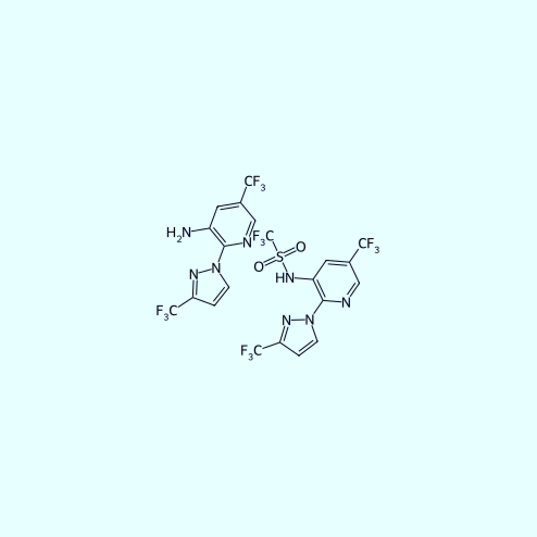 Nc1cc(C(F)(F)F)cnc1-n1ccc(C(F)(F)F)n1.O=S(=O)(Nc1cc(C(F)(F)F)cnc1-n1ccc(C(F)(F)F)n1)C(F)(F)F